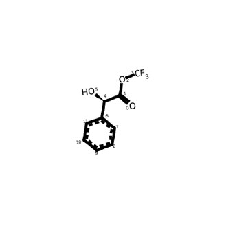 O=C(OC(F)(F)F)[C@H](O)c1ccccc1